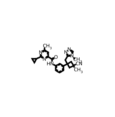 Cc1cc(C(=O)Nc2cccc(C3(Cc4nncn4C)CC(C)(C#N)C3)c2)nc(C2CC2)n1